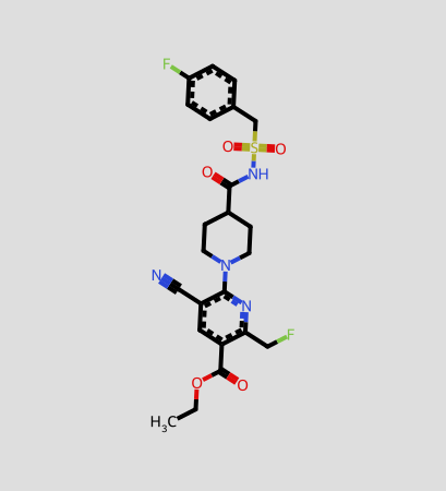 CCOC(=O)c1cc(C#N)c(N2CCC(C(=O)NS(=O)(=O)Cc3ccc(F)cc3)CC2)nc1CF